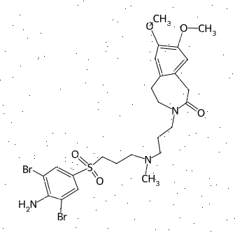 COc1cc2c(cc1OC)CC(=O)N(CCCN(C)CCCS(=O)(=O)c1cc(Br)c(N)c(Br)c1)CC2